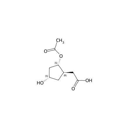 CC(=O)O[C@H]1C[C@@H](O)C[C@@H]1CC(=O)O